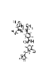 CCN(c1ccc(NC(=O)C2CC(=O)N(CCc3cccs3)C2)cc1)c1nc(C)cc(C)n1